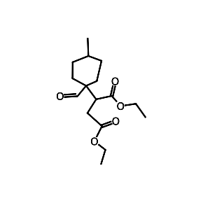 CCOC(=O)CC(C(=O)OCC)C1(C=O)CCC(C)CC1